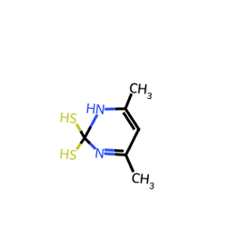 CC1=CC(C)=NC(S)(S)N1